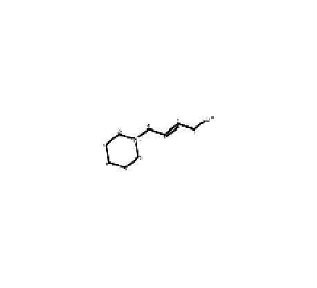 [Li][CH2]C=CCN1CCCCC1